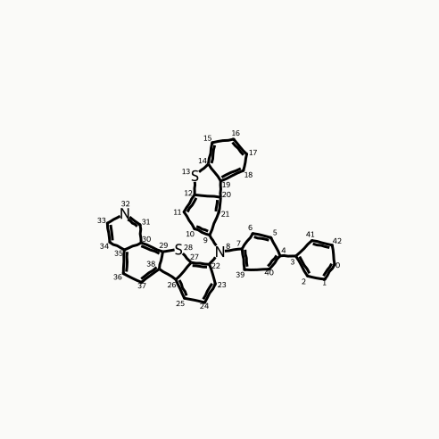 c1ccc(-c2ccc(N(c3ccc4sc5ccccc5c4c3)c3cccc4c3sc3c5cnccc5ccc43)cc2)cc1